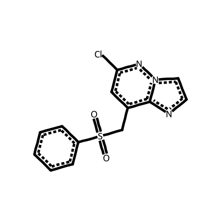 O=S(=O)(Cc1cc(Cl)nn2ccnc12)c1ccccc1